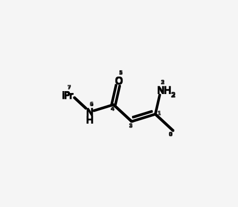 C/C(N)=C/C(=O)NC(C)C